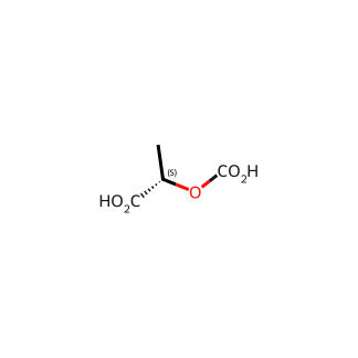 C[C@H](OC(=O)O)C(=O)O